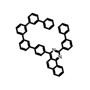 c1ccc(-c2cccc(-c3cccc(-c4cccc(-c5ccc(-c6nc(-c7cccc(-c8ccccc8)c7)nc7c6ccc6ccccc67)cc5)c4)c3)c2)cc1